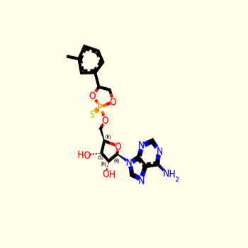 Cc1cccc(C2COP(=S)(OC[C@H]3O[C@@H](n4cnc5c(N)ncnc54)[C@H](O)[C@@H]3O)O2)c1